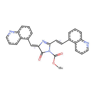 CC(C)(C)OC(=O)N1C(=O)/C(=C/c2cccc3ncccc23)N=C1/C=C/c1cccc2ncccc12